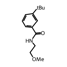 COCCNC(=O)c1cccc(C(C)(C)C)c1